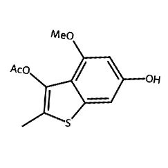 COc1cc(O)cc2sc(C)c(OC(C)=O)c12